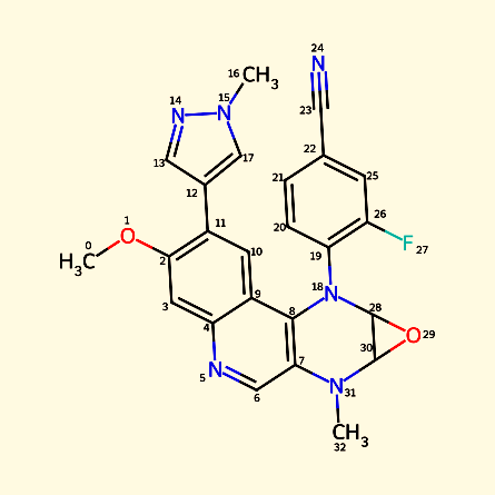 COc1cc2ncc3c(c2cc1-c1cnn(C)c1)N(c1ccc(C#N)cc1F)C1OC1N3C